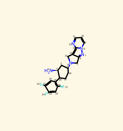 N[C@H]1C[C@@H](N2Cc3nn4cccnc4c3C2)CCC1c1cc(F)c(F)cc1F